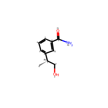 C[C@@H](CO)c1cccc(C(N)=O)c1